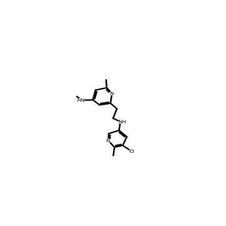 CNc1cc(C)nc(CCNc2cnc(C)c(Cl)c2)c1